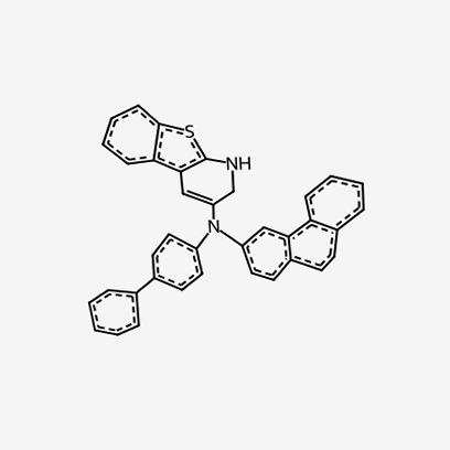 C1=C(N(c2ccc(-c3ccccc3)cc2)c2ccc3ccc4ccccc4c3c2)CNc2sc3ccccc3c21